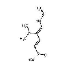 C=CN/C=C(/C=N/[S@+]([O-])C(C)(C)C)N(C)C